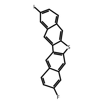 Fc1ccc2cc3c(cc2c1)sc1cc2ccc(I)cc2cc13